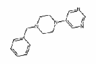 c1ccc(CN2CCN(c3cncnc3)CC2)cc1